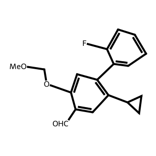 COCOc1cc(-c2ccccc2F)c(C2CC2)cc1C=O